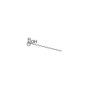 CCCCCCCCCCCCCCCCCCCCC(O)C1CCCCN1